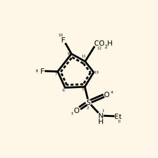 CCNS(=O)(=O)c1cc(F)c(F)c(C(=O)O)c1